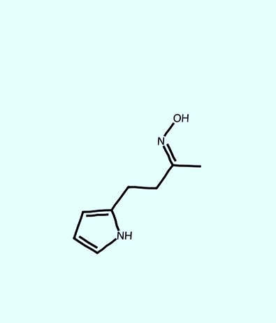 CC(CCc1ccc[nH]1)=NO